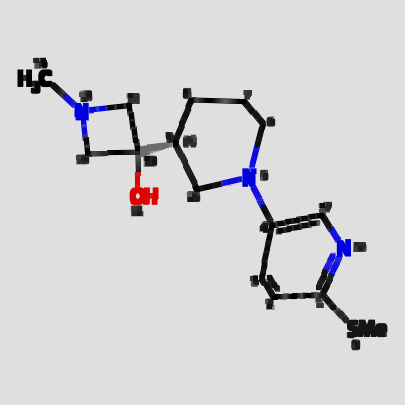 CSc1ccc(N2CCC[C@@H](C3(O)CN(C)C3)C2)cn1